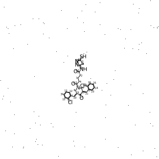 O=C(CCCC(=O)N1C/C(=C\c2ccccc2Cl)C(=O)/C(=C/c2ccccc2Cl)C1)Nc1nnc(S)s1